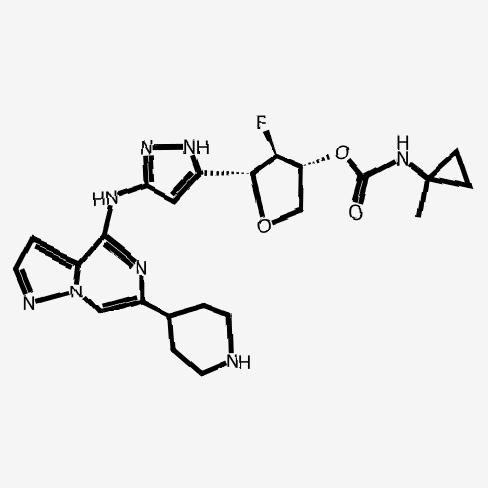 CC1(NC(=O)O[C@@H]2CO[C@H](c3cc(Nc4nc(C5CCNCC5)cn5nccc45)n[nH]3)[C@H]2F)CC1